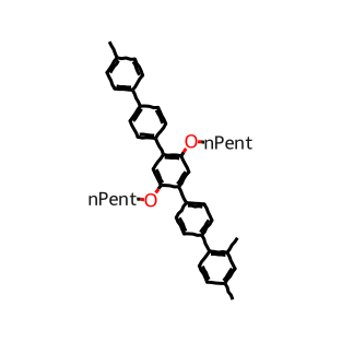 CCCCCOc1cc(-c2ccc(-c3ccc(C)cc3C)cc2)c(OCCCCC)cc1-c1ccc(-c2ccc(C)cc2)cc1